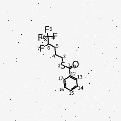 O=C(SCCCC(F)C(F)(F)F)c1ccccc1